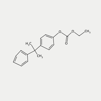 CCOC(=O)Oc1ccc(C(C)(C)c2ccccc2)cc1